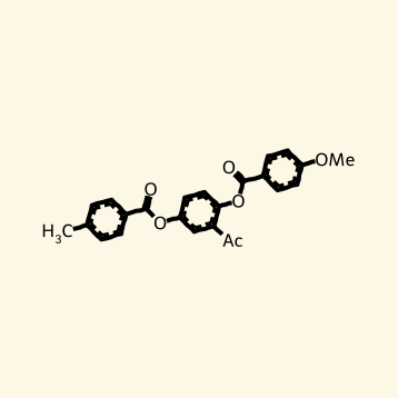 COc1ccc(C(=O)Oc2ccc(OC(=O)c3ccc(C)cc3)cc2C(C)=O)cc1